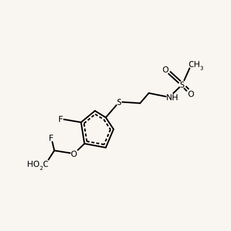 CS(=O)(=O)NCCSc1ccc(OC(F)C(=O)O)c(F)c1